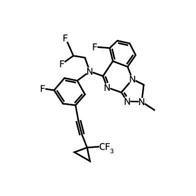 CN1CN2C(=N1)N=C(N(CC(F)F)c1cc(F)cc(C#CC3(C(F)(F)F)CC3)c1)c1c(F)cccc12